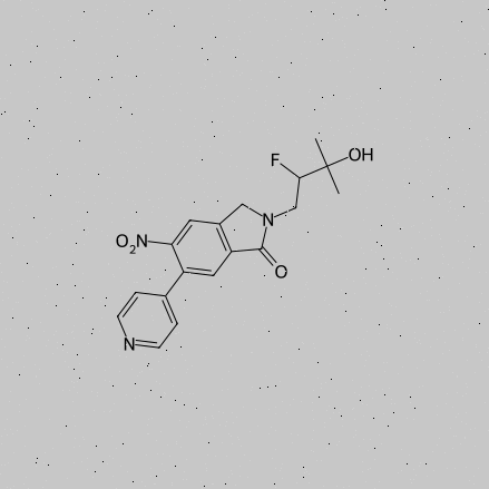 CC(C)(O)C(F)CN1Cc2cc([N+](=O)[O-])c(-c3ccncc3)cc2C1=O